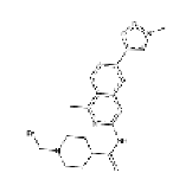 C=C(Nc1cc2cc(-c3cnn(C)c3)ccc2c(C)n1)C1CCN(CC(C)C)CC1